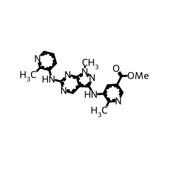 COC(=O)c1cnc(C)c(Nc2nn(C)c3nc(Nc4cccnc4C)ncc23)c1